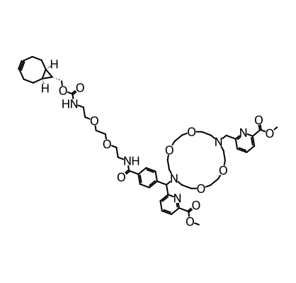 COC(=O)c1cccc(CN2CCOCCOCCN(C(c3ccc(C(=O)NCCOCCOCCNC(=O)OC[C@H]4[C@@H]5CCC#CCC[C@@H]54)cc3)c3cccc(C(=O)OC)n3)CCOCCOCC2)n1